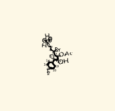 CC(=O)Oc1c(C(Br)CCN[SH](=O)=O)oc(-c2ccc(F)cc2)c1O